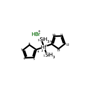 Br.[SiH3][Hf]([SiH3])([C]1=CC=CC1)[C]1=CC=CC1